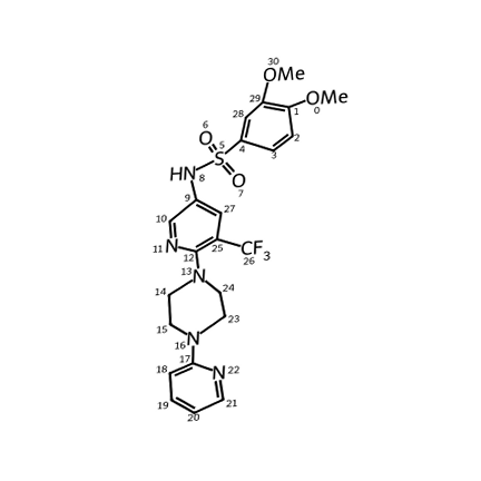 COc1ccc(S(=O)(=O)Nc2cnc(N3CCN(c4ccccn4)CC3)c(C(F)(F)F)c2)cc1OC